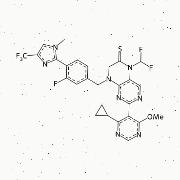 COc1ncnc(C2CC2)c1-c1ncc2c(n1)N(Cc1ccc(-c3nc(C(F)(F)F)cn3C)c(F)c1)CC(=S)N2C(F)F